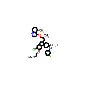 COCCOc1cc2c(cc1Cl)CC(C[C@@H](C)COc1ccnc3c1[C@H](C)CCC3)C21CCC(Nc2cccc(Cl)c2)(C(=O)O)CC1